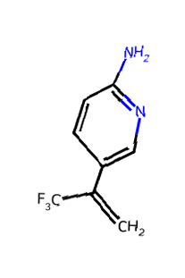 C=C(c1ccc(N)nc1)C(F)(F)F